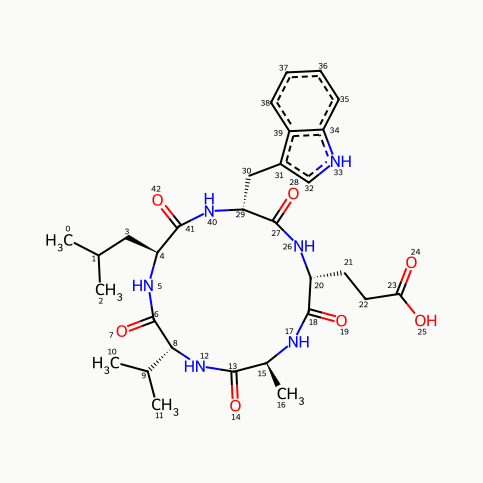 CC(C)C[C@@H]1NC(=O)[C@@H](C(C)C)NC(=O)[C@H](C)NC(=O)[C@@H](CCC(=O)O)NC(=O)[C@@H](Cc2c[nH]c3ccccc23)NC1=O